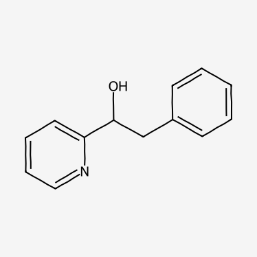 OC(Cc1ccccc1)c1ccccn1